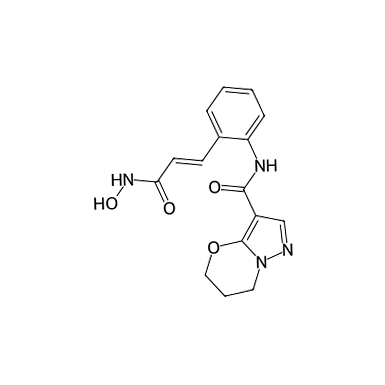 O=C(/C=C/c1ccccc1NC(=O)c1cnn2c1OCCC2)NO